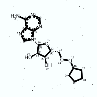 Nc1ncnc2c1ncn2[C@@H]1O[C@H](COOC2CCCC2)[C@@H](O)[C@H]1O